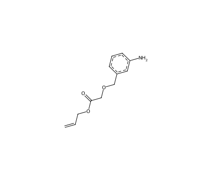 C=CCOC(=O)COCc1cccc(N)c1